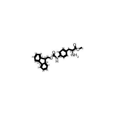 COC(=O)[C@@H](N)Cc1ccc(NC(=O)OCC2c3ccccc3-c3ccccc32)cc1